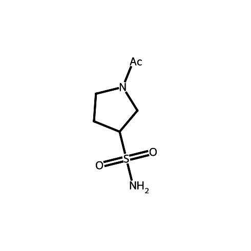 CC(=O)N1CCC(S(N)(=O)=O)C1